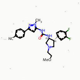 COCCN1C[C@@H](NC(=O)Nc2cc(-c3ccc(C#N)cc3)nn2C)[C@H](c2ccc(F)c(F)c2)C1